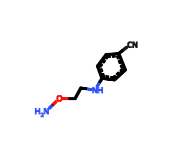 N#Cc1ccc(NCCON)cc1